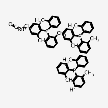 Cc1ccccc1P(c1ccccc1C)c1ccccc1C.Cc1ccccc1P(c1ccccc1C)c1ccccc1C.Cc1ccccc1P(c1ccccc1C)c1ccccc1C.O=[C]=[Ru+][Cl].[H-]